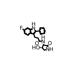 O=C(CCc1c(-c2ccccc2)[nH]c2cc(F)ccc12)N[C@@H]1C(=O)NC[C@H]1O